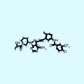 Cc1ccc(NC(=O)c2ccc(Cl)c(C(F)(F)F)c2)cc1C#Cc1nn([C@@H]2CCCN(C(=O)C(C)O)C2)c2ncnc(N)c12